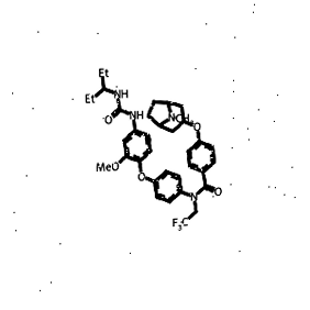 CCC(CC)NC(=O)Nc1ccc(Oc2ccc(N(CC(F)(F)F)C(=O)c3ccc(OC4CC5CCC(C4)N5C)cc3)cc2)c(OC)c1